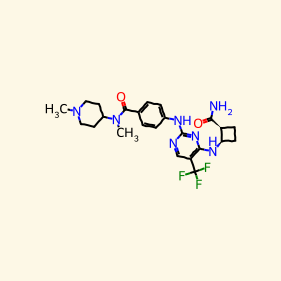 CN1CCC(N(C)C(=O)c2ccc(Nc3ncc(C(F)(F)F)c(N[C@@H]4CC[C@@H]4C(N)=O)n3)cc2)CC1